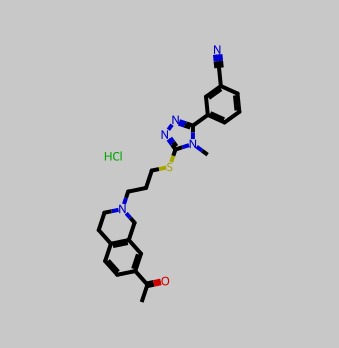 CC(=O)c1ccc2c(c1)CN(CCCSc1nnc(-c3cccc(C#N)c3)n1C)CC2.Cl